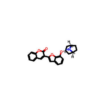 O=c1oc2ccccc2cc1-c1cc2cccc(O[C@@H]3C[C@H]4CC[C@@H](C3)N4)c2o1